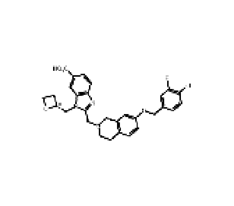 O=C(O)c1ccc2nc(CN3CCc4ccc(OCc5ccc(Cl)c(F)c5)cc4C3)n(C[C@@H]3CCO3)c2c1